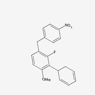 COc1ccc(Cc2ccc([N+](=O)[O-])cc2)c(F)c1C1C=[C]C=CC1